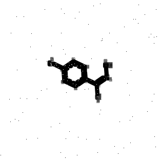 O/N=C(/Cl)c1ccc(Cl)cc1